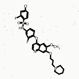 COc1cc2c(Oc3ccc(NS(=O)(=O)c4ccc(Cl)cc4F)cc3F)ccnc2cc1OCCCN1CCCCC1